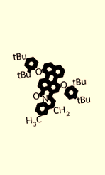 C=c1cc2c3cc(Oc4ccc(C(C)(C)C)cc4C(C)(C)C)c4c5cccc6ccc(Oc7ccc(C(C)(C)C)cc7C(C)(C)C)c(c7ccc(c(=O)n2c2ccc(C)cc12)c3c74)c65